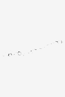 CCN(CCOCCOCCOCCOCCOC(=O)CCCC=O)c1ccc(/N=N/c2sc(C#N)c(C)c2C#N)c(C)c1